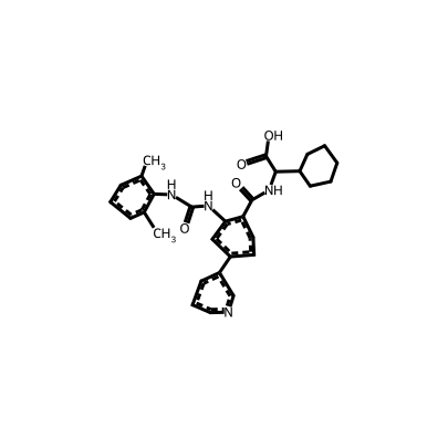 Cc1cccc(C)c1NC(=O)Nc1cc(-c2cccnc2)ccc1C(=O)NC(C(=O)O)C1CCCCC1